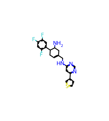 NC1CC(CNc2cc(-c3ccsc3)ncn2)=CCC1c1cc(F)c(F)cc1F